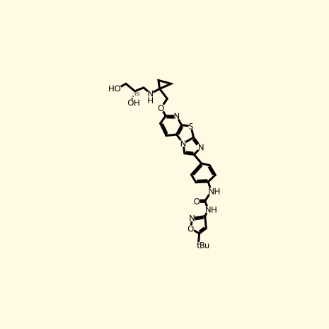 CC(C)(C)c1cc(NC(=O)Nc2ccc(-c3cn4c(n3)sc3nc(OCC5(NC[C@H](O)CO)CC5)ccc34)cc2)no1